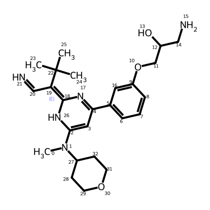 CN(C1=CC(c2cccc(OCC(O)CN)c2)=N/C(=C(/C=N)C(C)(C)C)N1)C1CCOCC1